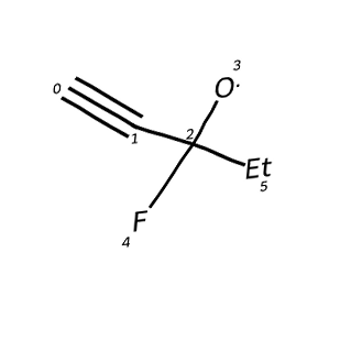 C#CC([O])(F)CC